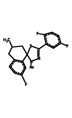 CC(=O)N1N=C(c2cc(F)ccc2F)SC12CC(C)Cc1ccc(F)cc12